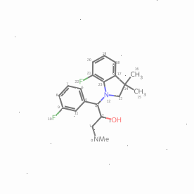 CNCC(O)C(c1cccc(F)c1)N1CC(C)(C)c2cccc(F)c21